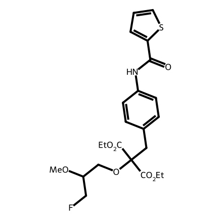 CCOC(=O)C(Cc1ccc(NC(=O)c2cccs2)cc1)(OCC(CF)OC)C(=O)OCC